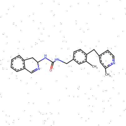 Cc1cc(Cc2ccc(CNC(=O)NC3Cc4ccccc4C=N3)cc2C)ccn1